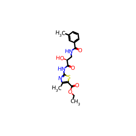 CCOC(=O)c1sc(NC(=O)[C@@H](O)CNC(=O)c2cccc(C)c2)nc1C